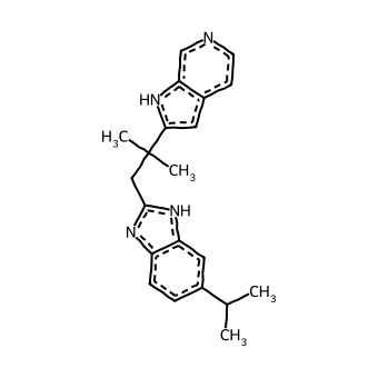 CC(C)c1ccc2nc(CC(C)(C)c3cc4ccncc4[nH]3)[nH]c2c1